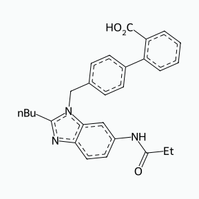 CCCCc1nc2ccc(NC(=O)CC)cc2n1Cc1ccc(-c2ccccc2C(=O)O)cc1